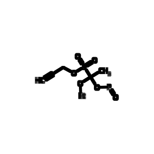 C#CCOS(=O)(=O)C(C)(OCC)OP=O